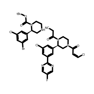 CC(C)(C)OC(=O)N1CCNC[C@H]1c1cc(Cl)cc(Br)c1.N#CCC(=O)N1CCN(C(=O)/C=C\Cl)C[C@H]1c1cc(Cl)cc(-c2ncc(F)cn2)c1